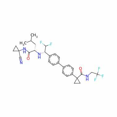 CC(C)C[C@H](N[C@@H](c1ccc(-c2ccc(C3(C(=O)NCC(F)(F)F)CC3)cc2)cc1)C(F)F)C(=O)NC1(C#N)CC1